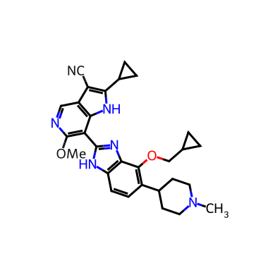 COc1ncc2c(C#N)c(C3CC3)[nH]c2c1-c1nc2c(OCC3CC3)c(C3CCN(C)CC3)ccc2[nH]1